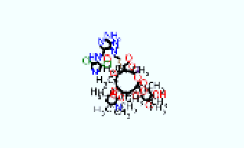 CO[C@]1(C)C[C@@H](C)C(=O)[C@H](C)[C@H]2[C@H](SCCn3cnc4c(N)ncc(C(=O)Nc5c(Cl)cncc5Cl)c43)C(=O)O[C@]2(C)[C@@H](I)OC(=O)[C@H](C)[C@@H](O[C@H]2C[C@@](C)(OC)[C@@H](O)[C@H](C)O2)[C@H](C)[C@H]1O[C@@H]1O[C@H](C)C[C@@H](C)[C@@H]1N(C)C